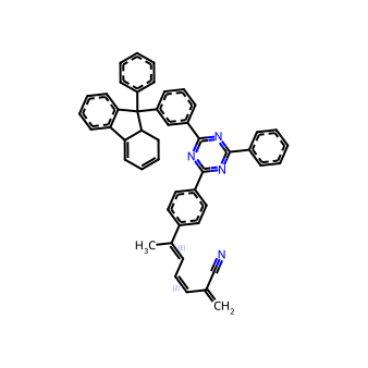 C=C(C#N)/C=C\C=C(/C)c1ccc(-c2nc(-c3ccccc3)nc(-c3cccc(C4(c5ccccc5)c5ccccc5C5=CC=CCC54)c3)n2)cc1